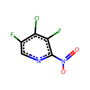 O=[N+]([O-])c1ncc(F)c(Cl)c1F